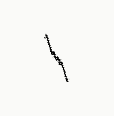 C=CC(=O)OCCCCCCCCCCCc1ccc(OC(=O)C2CCC(C(=O)Oc3ccc(CCCCCCCCCCCOC(=O)C=C)cc3)CC2)cc1